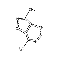 Cc1noc2c(C)ncnc12